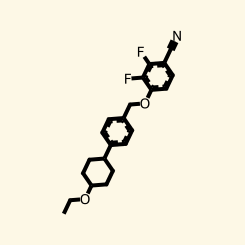 CCOC1CCC(c2ccc(COc3ccc(C#N)c(F)c3F)cc2)CC1